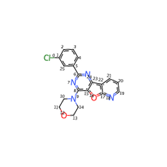 Clc1cccc(-c2nc(N3CCOCC3)c3oc4ncccc4c3n2)c1